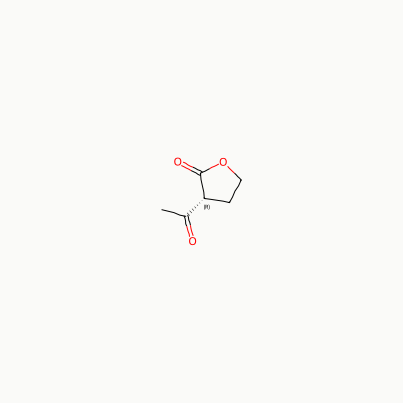 CC(=O)[C@H]1CCOC1=O